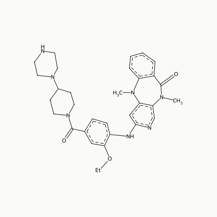 CCOc1cc(C(=O)N2CCC(N3CCNCC3)CC2)ccc1Nc1cc2c(cn1)N(C)C(=O)c1ccccc1N2C